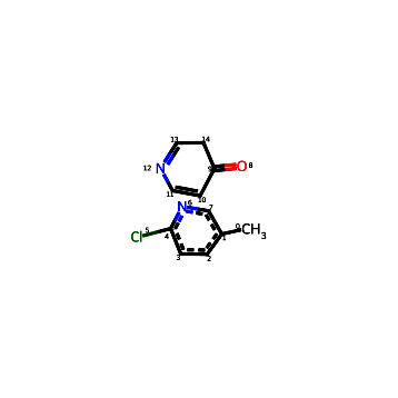 Cc1ccc(Cl)nc1.O=C1C=CN=CC1